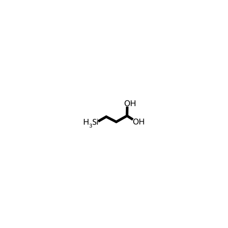 OC(O)CC[SiH3]